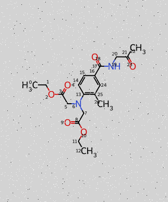 CCOC(=O)CN(CC(=O)OCC)c1ccc(C(=O)NCC(C)=O)cc1C